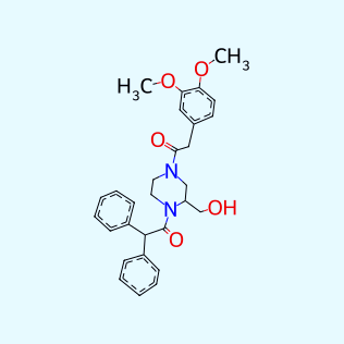 COc1ccc(CC(=O)N2CCN(C(=O)C(c3ccccc3)c3ccccc3)C(CO)C2)cc1OC